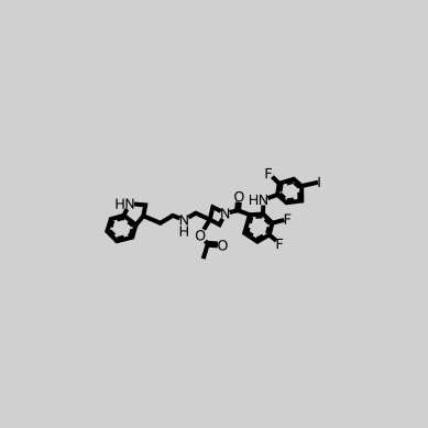 CC(=O)OC1(CNCCC2CNc3ccccc32)CN(C(=O)c2ccc(F)c(F)c2Nc2ccc(I)cc2F)C1